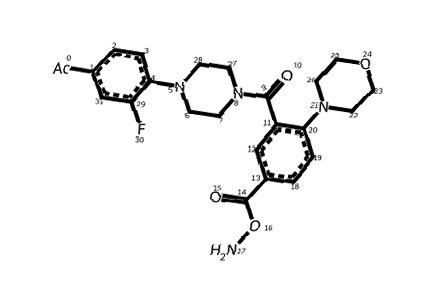 CC(=O)c1ccc(N2CCN(C(=O)c3cc(C(=O)ON)ccc3N3CCOCC3)CC2)c(F)c1